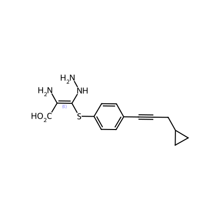 NN/C(Sc1ccc(C#CCC2CC2)cc1)=C(\N)C(=O)O